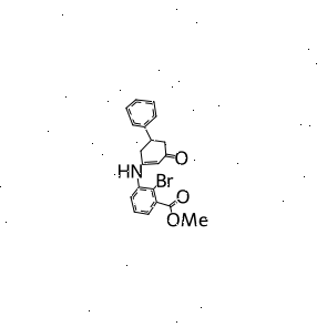 COC(=O)c1cccc(NC2=CC(=O)CC(c3ccccc3)C2)c1Br